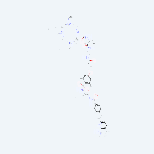 Cc1cc(OCCCC(=O)NCCNC(=O)[C@H](CS(=O)(=O)O)NC(=O)CN2CCN(CC(=O)O)CCN(CC(=O)O)CCN(CC(=O)O)CC2)cc(C)c1S(=O)(=O)N[C@@H](CNC(=O)c1ccc(CCc2ccc3c(n2)NCCC3)cc1)C(=O)O